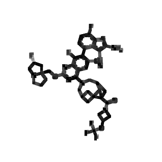 N#Cc1c(N)sc2c(F)ccc(-c3c(Cl)cc4c(N5CC6CC7(C6)C6C(C5)CC67C(=O)N5CC(OC(F)(F)F)C5)nc(OC[C@@]56CCCN5C[C@H](F)C6)nc4c3F)c12